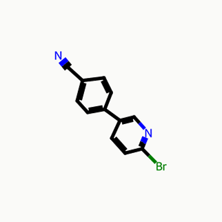 N#Cc1ccc(-c2ccc(Br)nc2)cc1